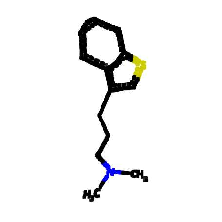 CN(C)CCCc1csc2ccccc12